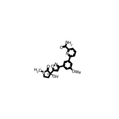 COc1cc(-c2cc([C@]3(O)CCN(C)C3=O)on2)cc(-c2cccc(C(N)=O)n2)c1